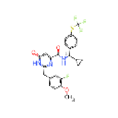 COc1ccc(Cc2nc(C(=O)N[C@@H](c3ccc(SC(F)(F)F)cc3)C3CC3)cc(=O)[nH]2)cc1F